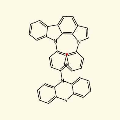 c1ccc(-n2ccc3ccc4c5ccccc5n(-c5ccc(N6c7ccccc7Sc7ccccc76)cc5)c4c32)cc1